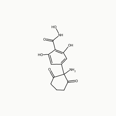 NC1(c2cc(O)c(C(=O)NO)c(O)c2)C(=O)CCCC1=O